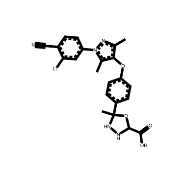 Cc1nn(-c2ccc(C#N)c(Cl)c2)c(C)c1Oc1ccc(C2(C)NNC(C(=O)O)O2)cc1